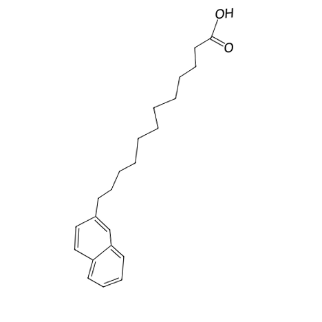 O=C(O)CCCCCCCCCCCc1ccc2ccccc2c1